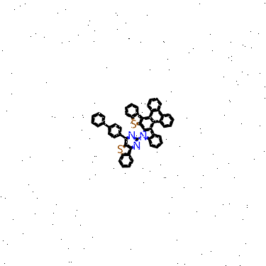 c1ccc(-c2ccc(-c3nc(-n4c5ccccc5c5c6c7ccccc7c7ccccc7c6c6c7ccccc7sc6c54)nc4c3sc3ccccc34)cc2)cc1